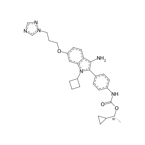 C[C@@H](OC(=O)Nc1ccc(-c2c(N)c3ccc(OCCCn4cncn4)cc3n2C2CCC2)cc1)C1CC1